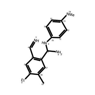 CCc1cc(C=N)c(C(N)Nc2ccc(NC)cc2)cc1C